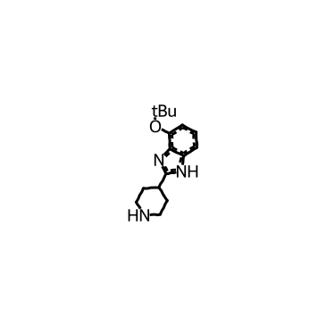 CC(C)(C)Oc1cccc2[nH]c(C3CCNCC3)nc12